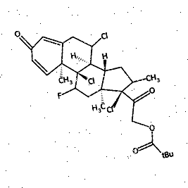 CC1C[C@H]2[C@@H]3C(Cl)CC4=CC(=O)C=C[C@]4(C)[C@@]3(Cl)C(F)C[C@]2(C)[C@@]1(Cl)C(=O)COC(=O)C(C)(C)C